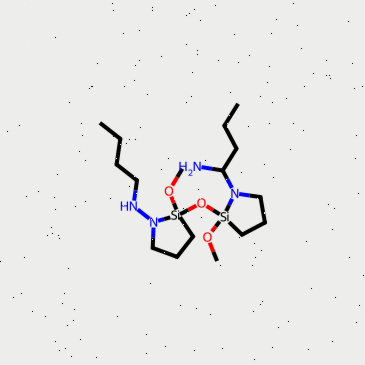 CCCCNN1CCC[Si]1(OC)O[Si]1(OC)CCCN1C(N)CCC